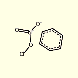 O=[N+]([O-])OCl.c1ccccc1